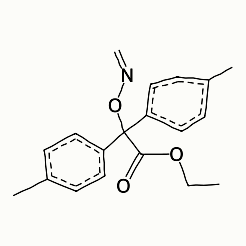 C=NOC(C(=O)OCC)(c1ccc(C)cc1)c1ccc(C)cc1